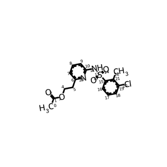 CC(=O)OCCc1cccc(NS(=O)(=O)c2cccc(Cl)c2C)n1